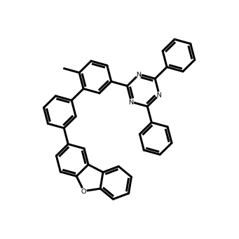 Cc1ccc(-c2nc(-c3ccccc3)nc(-c3ccccc3)n2)cc1-c1cccc(-c2ccc3oc4ccccc4c3c2)c1